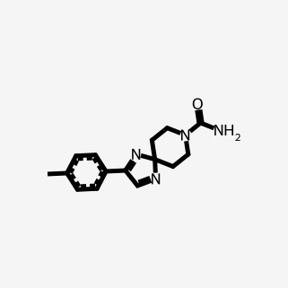 Cc1ccc(C2=NC3(CCN(C(N)=O)CC3)N=C2)cc1